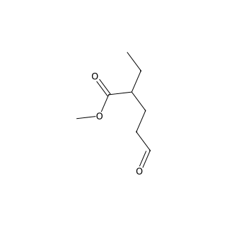 CCC(CCC=O)C(=O)OC